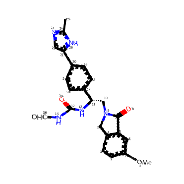 COc1ccc2c(c1)C(=O)N(C[C@H](NC(=O)NC=O)c1ccc(-c3cnc(C)[nH]3)cc1)C2